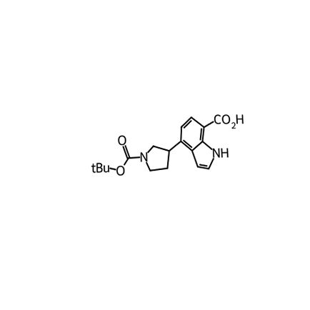 CC(C)(C)OC(=O)N1CCC(c2ccc(C(=O)O)c3[nH]ccc23)C1